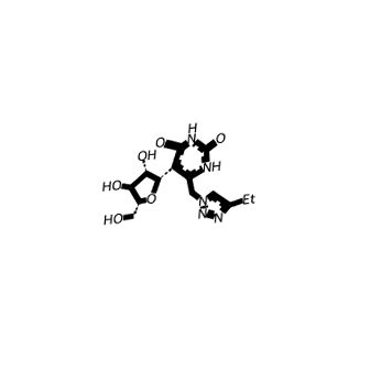 CCc1cn(Cc2[nH]c(=O)[nH]c(=O)c2[C@@H]2O[C@H](CO)C(O)[C@@H]2O)nn1